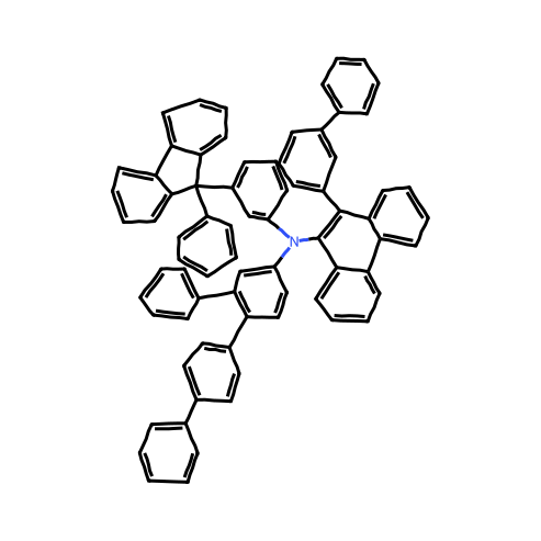 c1ccc(-c2ccc(-c3ccc(N(c4cccc(C5(c6ccccc6)c6ccccc6-c6ccccc65)c4)c4c(-c5cccc(-c6ccccc6)c5)c5ccccc5c5ccccc45)cc3-c3ccccc3)cc2)cc1